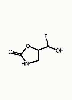 O=C1NCC(C(O)F)O1